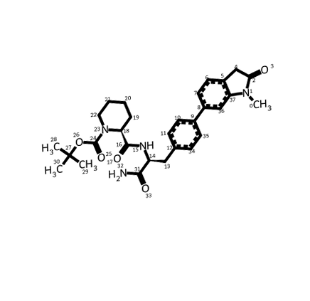 CN1C(=O)Cc2ccc(-c3ccc(C[C@H](NC(=O)[C@@H]4CCCCN4C(=O)OC(C)(C)C)C(N)=O)cc3)cc21